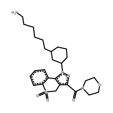 NCCCCCCC1CCCC(n2nc(C(=O)N3CCOCC3)c3c2-c2ccccc2S(=O)(=O)C3)C1